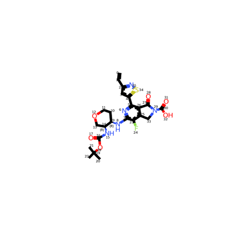 C=Cc1cc(-c2nc(N[C@@H]3CCOC[C@@H]3NC(=O)OC(C)(C)C)c(F)c3c2C(=O)N(C(=O)O)C3)sn1